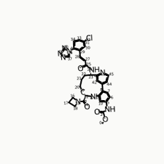 COC(=O)Nc1ccc2c(c1)N[C@@H](C(=O)N1CCC1)CCCC[C@H](NC(=O)/C=C/c1cc(Cl)ccc1-n1cnnn1)c1cc-2ccn1